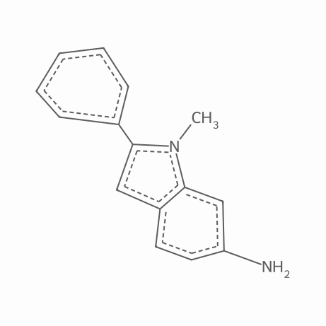 Cn1c(-c2ccccc2)cc2ccc(N)cc21